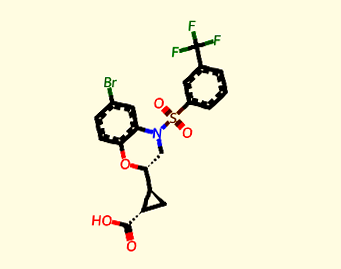 O=C(O)[C@H]1C[C@@H]1[C@H]1CN(S(=O)(=O)c2cccc(C(F)(F)F)c2)c2cc(Br)ccc2O1